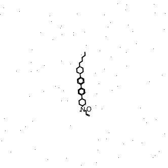 C=CC(=O)N(C)C1CCC(c2ccc(-c3ccc(C4CCC(CCCCC)CC4)cc3)cc2)CC1